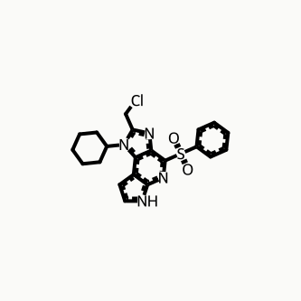 O=S(=O)(c1ccccc1)c1nc2[nH]ccc2c2c1nc(CCl)n2C1CCCCC1